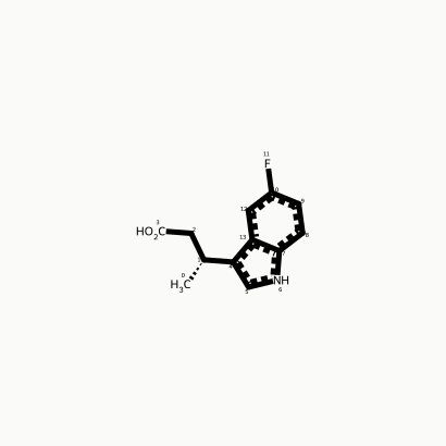 C[C@H](CC(=O)O)c1c[nH]c2ccc(F)cc12